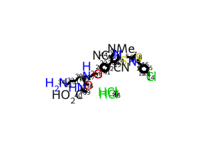 CNc1nc(SCc2csc(-c3ccc(Cl)cc3)n2)c(C#N)c(-c2ccc(OCCN[C@@H](CCCCN)C(=O)N[C@@H](C)C(=O)O)cc2)c1C#N.Cl.Cl